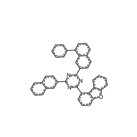 c1ccc(-c2cccc3ccc(-c4nc(-c5ccc6ccccc6c5)nc(-c5cccc6oc7ccccc7c56)n4)cc23)cc1